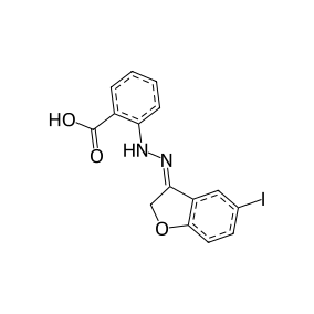 O=C(O)c1ccccc1NN=C1COc2ccc(I)cc21